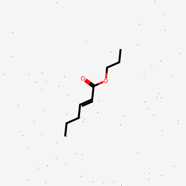 [CH2]CCC=CC(=O)OCCC